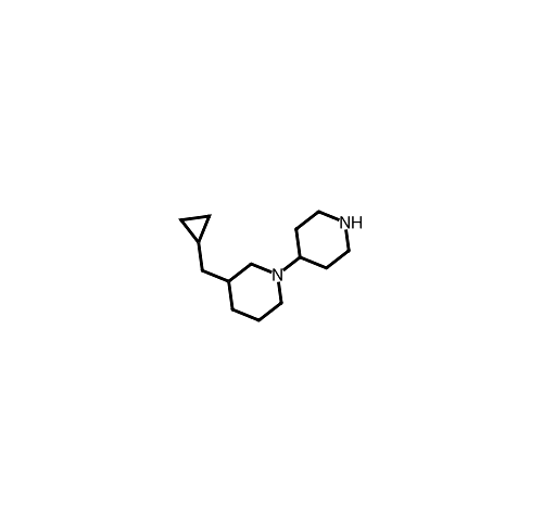 C1CC(CC2CC2)CN(C2CCNCC2)C1